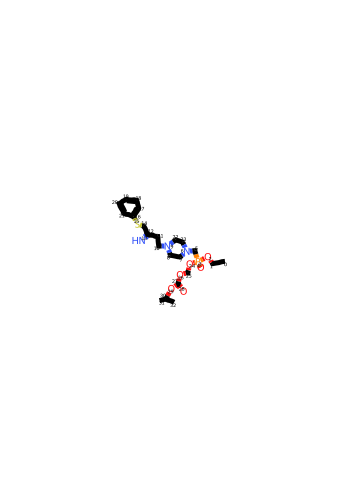 CCOP(=O)(CN1CCN(CCC(=N)CSc2ccccc2)CC1)OCOC(=O)OC(C)C